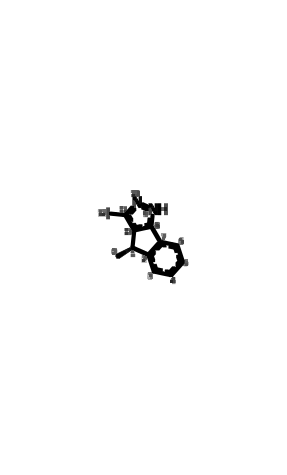 C[C@@H]1c2ccccc2-c2[nH]nc(I)c21